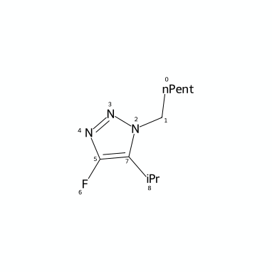 CCCCCCn1nnc(F)c1C(C)C